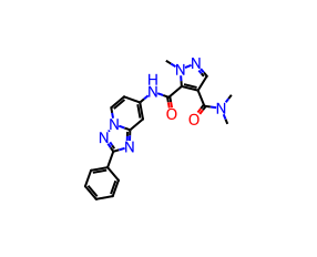 CN(C)C(=O)c1cnn(C)c1C(=O)Nc1ccn2nc(-c3ccccc3)nc2c1